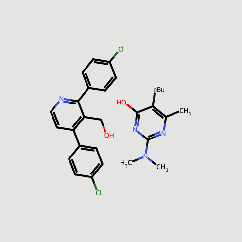 CCCCc1c(C)nc(N(C)C)nc1O.OCc1c(-c2ccc(Cl)cc2)ccnc1-c1ccc(Cl)cc1